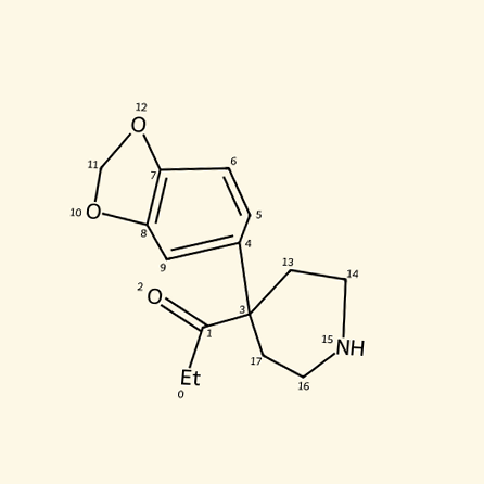 CCC(=O)C1(c2ccc3c(c2)OCO3)CCNCC1